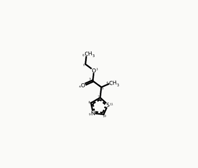 CCOC(=O)C(C)c1cncs1